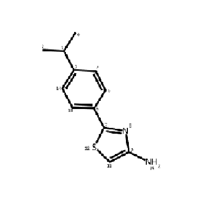 CC(C)c1ccc(-c2nc(N)cs2)cc1